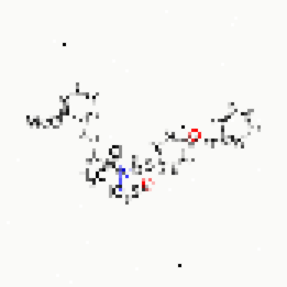 COc1ccccc1CCCC(C)(C)NCC(OS(=O)(=O)O)c1ccc(OCc2ccccc2)cc1